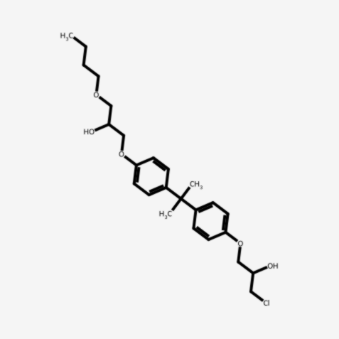 CCCCOCC(O)COc1ccc(C(C)(C)c2ccc(OCC(O)CCl)cc2)cc1